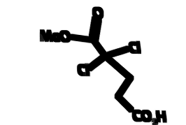 COC(=O)C(Cl)(Cl)CCC(=O)O